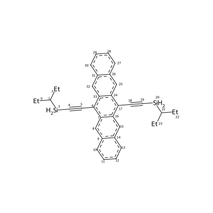 CCC(CC)[SiH2]C#Cc1c2cc3ccccc3cc2c(C#C[SiH2]C(CC)CC)c2cc3ccccc3cc12